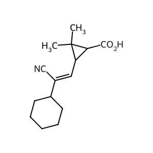 CC1(C)C(/C=C(\C#N)C2CCCCC2)C1C(=O)O